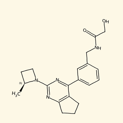 C[C@H]1CCN1c1nc2c(c(-c3cccc(CNC(=O)CO)c3)n1)CCC2